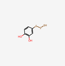 Oc1ccc(SSS)cc1O